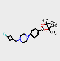 CC1(C)OB(c2ccc(N3CCN(CC4CC(F)C4)CC3)cc2)OC1(C)C